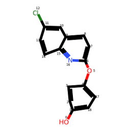 Oc1ccc(Oc2ccc3cc(Cl)ccc3n2)cc1